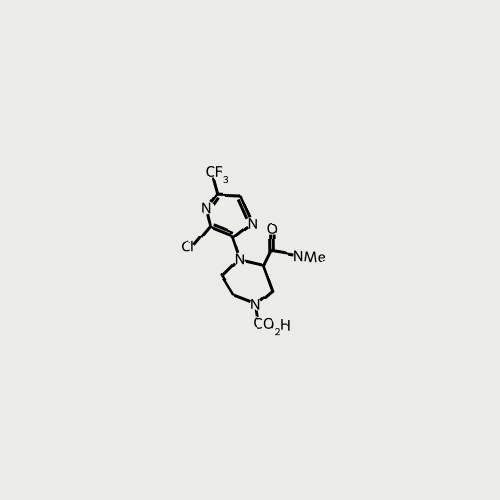 CNC(=O)C1CN(C(=O)O)CCN1c1ncc(C(F)(F)F)nc1Cl